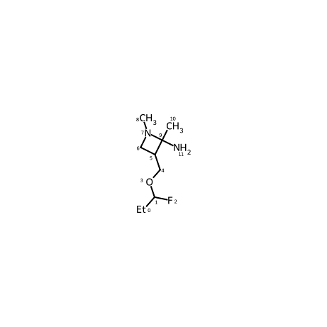 CCC(F)OCC1CN(C)C1(C)N